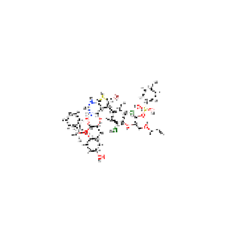 C=CCOCC(COS(=O)(=O)c1ccc(C)cc1)Oc1c(Cl)c(C)c(-c2c(Br)sc3ncnc(OC(Cc4cc(O)ccc4OCc4ccccc4)C(=O)OC(C)(C)C)c23)c(C)c1Cl